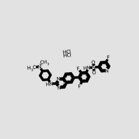 CN(C)C1CCC(Nc2ncc3cc(-c4c(F)ccc(NS(=O)(=O)c5cncc(F)c5)c4F)ccc3n2)CC1.Cl.Cl